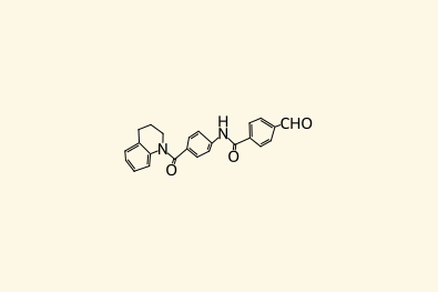 O=Cc1ccc(C(=O)Nc2ccc(C(=O)N3CCCc4ccccc43)cc2)cc1